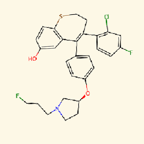 Oc1ccc2c(c1)C(c1ccc(O[C@H]3CCN(CCCF)C3)cc1)=C(c1ccc(F)cc1Cl)CCS2